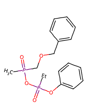 CCP(=O)(Oc1ccccc1)OP(C)(=O)COCc1ccccc1